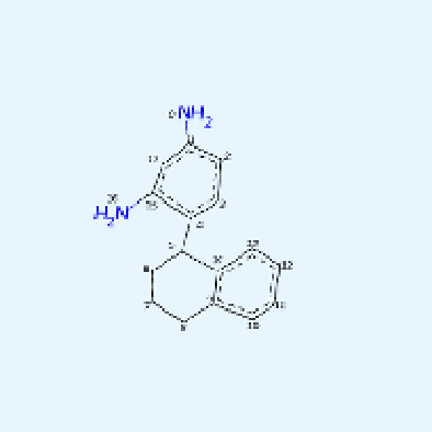 Nc1ccc(C2CCCc3ccccc32)c(N)c1